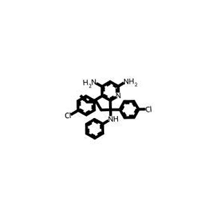 CCCCC(Nc1ccccc1)(c1ccc(Cl)cc1)c1nc(N)cc(N)c1-c1ccc(Cl)cc1